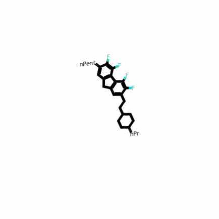 CCCCCc1cc2c(c(F)c1F)-c1c(cc(CCC3CCC(CCC)CC3)c(F)c1F)C2